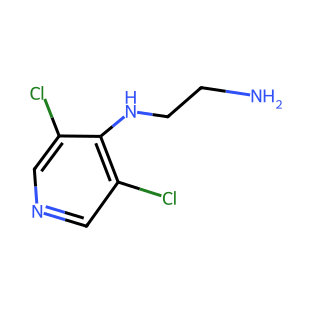 NCCNc1c(Cl)cncc1Cl